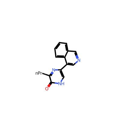 CCCc1nc(-c2cncc3ccccc23)c[nH]c1=O